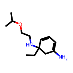 CCC1(NCCOC(C)C)C=CC=C(N)C1